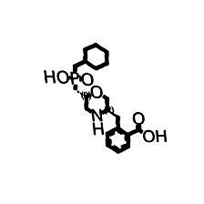 O=C(O)c1ccccc1C[C@@H]1CO[C@@H](CP(=O)(O)CC2CCCCC2)CN1